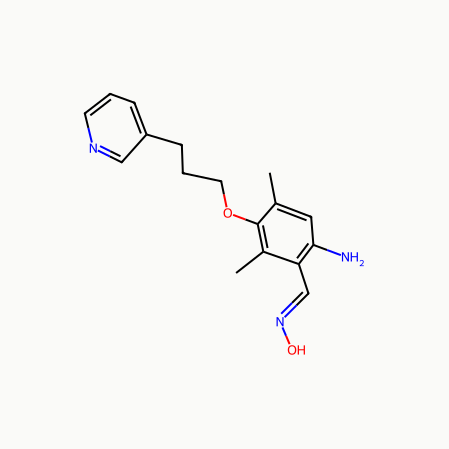 Cc1cc(N)c(C=NO)c(C)c1OCCCc1cccnc1